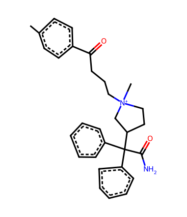 Cc1ccc(C(=O)CCC[N+]2(C)CCC(C(C(N)=O)(c3ccccc3)c3ccccc3)C2)cc1